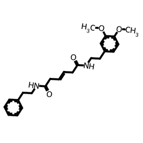 COc1ccc(CCNC(=O)CC=CCC(=O)NCCc2ccccc2)cc1OC